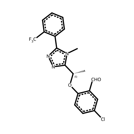 C[C@H](Oc1ccc(Cl)cc1C=O)c1nnc(-c2ccccc2C(F)(F)F)n1C